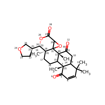 CC1(C)C=CC(=O)[C@@]2(C)C1CC(=O)[C@]1(C)C2CC[C@@]2(C)[C@H]([C@H]3CCOC3)OC(=O)C3OC321